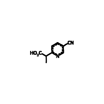 CC(C(=O)O)c1ccc(C#N)cn1